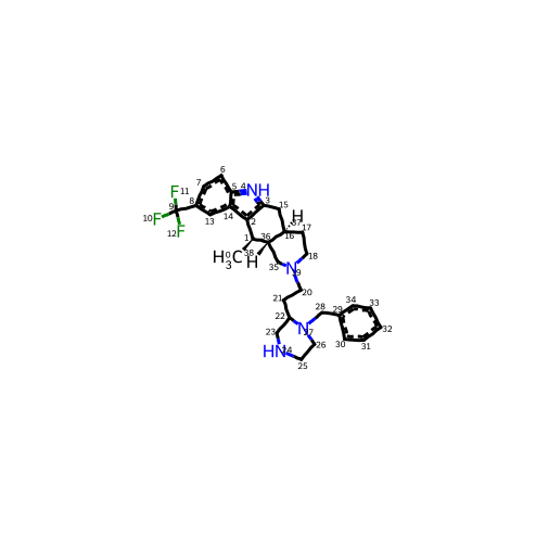 C[C@H]1c2c([nH]c3ccc(C(F)(F)F)cc23)C[C@H]2CCN(CCC3CNCCN3Cc3ccccc3)C[C@@H]21